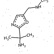 CNCc1cnc(C(C)(C)N)o1